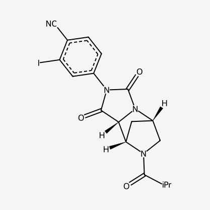 CC(C)C(=O)N1C[C@@H]2C[C@H]1[C@@H]1C(=O)N(c3ccc(C#N)c(I)c3)C(=O)N21